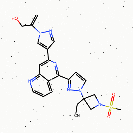 C=C(CO)n1cc(-c2cc3ncccc3c(-c3ccn(C4(CC#N)CN(S(C)(=O)=O)C4)n3)n2)cn1